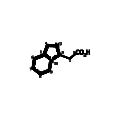 O=C(O)Cc1ncc2ccccn12